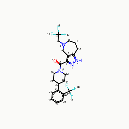 O=C(c1n[nH]c2c1CN(CC(F)(F)F)CCC2)N1CCC(c2ccccc2C(F)(F)F)CC1